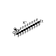 CCC(F)(F)C(F)(F)C(F)(F)C(F)(F)C(F)(F)C(F)(F)C(F)(F)C(F)(F)C(F)(F)C(F)(F)S(=O)(=O)[O-].[K+]